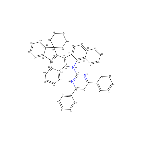 c1ccc(-c2cc(-c3ccccc3)nc(-n3c4c5ccccc5ccc4c4c5c(c6ccccc6c43)-c3ccccc3C53CCCCC3)n2)cc1